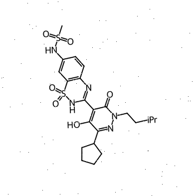 CC(C)CCn1nc(C2CCCC2)c(O)c(C2=Nc3ccc(NS(C)(=O)=O)cc3S(=O)(=O)N2)c1=O